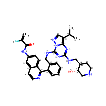 C=C(F)C(=O)Nc1ccc2c(-c3ccccc3CNc3nc(NC[C@H]4CCNC[C@@H]4O)nc4c(C(C)C)cnn34)nccc2c1